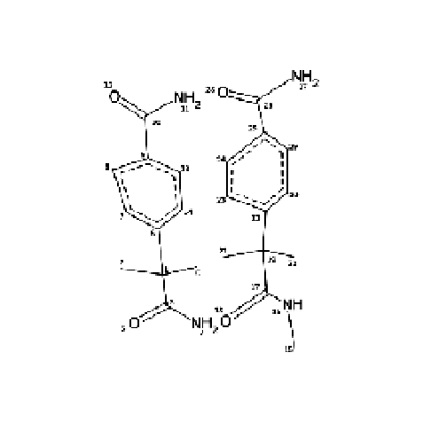 CC(C)(C(N)=O)c1ccc(C(N)=O)cc1.CNC(=O)C(C)(C)c1ccc(C(N)=O)cc1